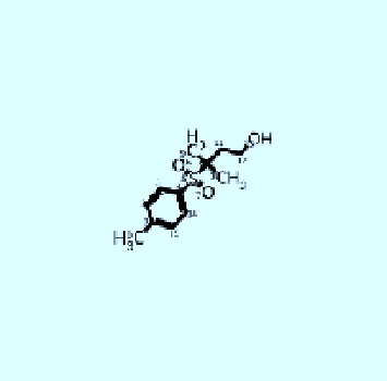 Cc1ccc(S(=O)(=O)C(C)(C)CCO)cc1